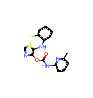 Cc1cccc(NC(=O)Oc2ncsc2Nc2ccccc2F)n1